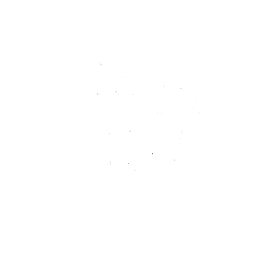 O=C(C1=C(O)C(=O)N(C2CCOCC2)C1c1ccc(C(F)(F)F)cc1)c1cc(Cl)ccc1OCc1ccccc1